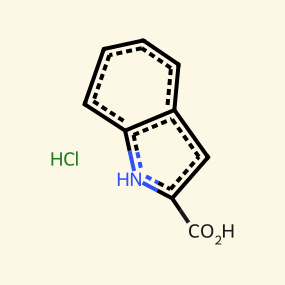 Cl.O=C(O)c1cc2ccccc2[nH]1